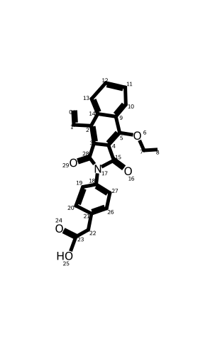 C=Cc1c2c(c(OCC)c3ccccc13)C(=O)N(c1ccc(CC(=O)O)cc1)C2=O